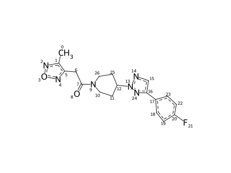 Cc1nonc1CC(=O)N1CCC(n2ncc(-c3ccc(F)cc3)n2)CC1